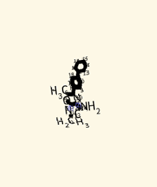 C=C/N=C1/OC(C)C(c2ccc(C3CCCCC3)cc2)=N/C1=C(/C)N